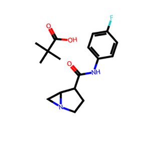 CC(C)(C)C(=O)O.O=C(Nc1ccc(F)cc1)C1CCN2CC12